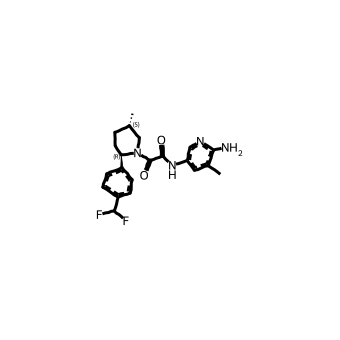 Cc1cc(NC(=O)C(=O)N2C[C@@H](C)CC[C@@H]2c2ccc(C(F)F)cc2)cnc1N